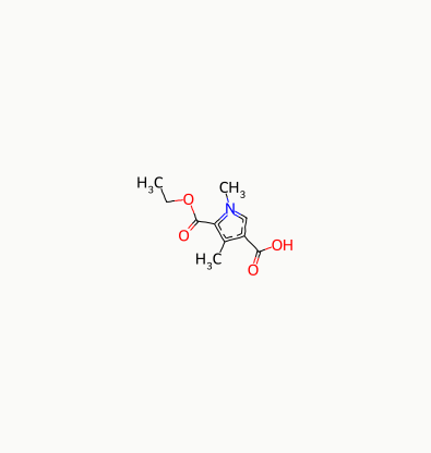 CCOC(=O)c1c(C)c(C(=O)O)cn1C